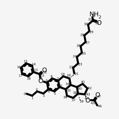 CCCCc1cc2c(cc1OC(=O)c1ccccc1)C[C@H](CCCCCCCCCCC(N)=O)C1C2CC[C@@]2(C)C1CC[C@@H]2OC(C)=O